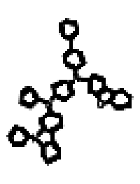 C1=Cc2oc3cc(N(c4ccc(-c5ccccc5)cc4)c4ccc(N(c5ccccc5)c5ccc6c7ccccc7n(-c7ccccc7)c6c5)cc4)ccc3c2CC1